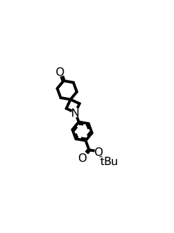 CC(C)(C)OC(=O)c1ccc(N2CC3(CCC(=O)CC3)C2)cc1